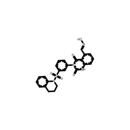 O=c1[nH]c2cccc(/C=N/O)c2c(=O)n1-c1cccc(S(=O)(=O)N2CCCc3ccccc32)c1